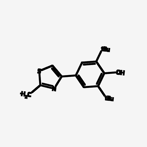 [CH2]c1nc(-c2cc(C(C)(C)C)c(O)c(C(C)(C)C)c2)cs1